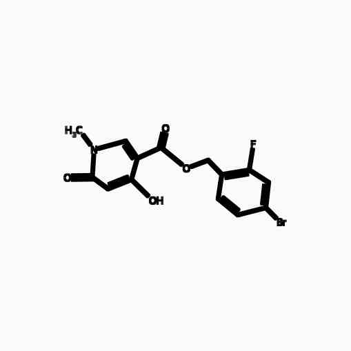 Cn1cc(C(=O)OCc2ccc(Br)cc2F)c(O)cc1=O